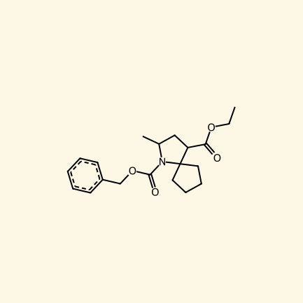 CCOC(=O)C1CC(C)N(C(=O)OCc2ccccc2)C12CCCC2